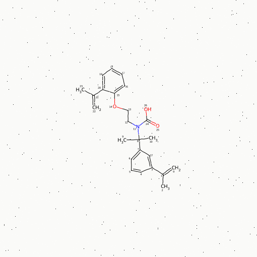 C=C(C)c1cccc(C(C)(C)N(CCOc2ccccc2C(=C)C)C(=O)O)c1